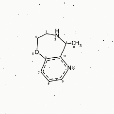 CC1NCCOc2cccnc21